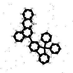 c1ccc(C2(c3ccccc3)c3ccccc3-c3ccc(-c4cc5nc6ccccc6cc5c5ccccc45)cc32)cc1